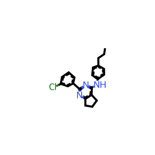 CCCc1ccc(Nc2nc(-c3cccc(Cl)c3)nc3c2CCC3)cc1